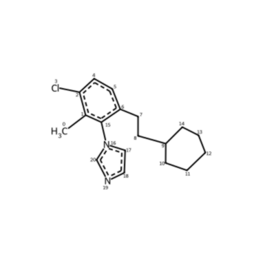 Cc1c(Cl)ccc(CCC2CCCCC2)c1-n1ccnc1